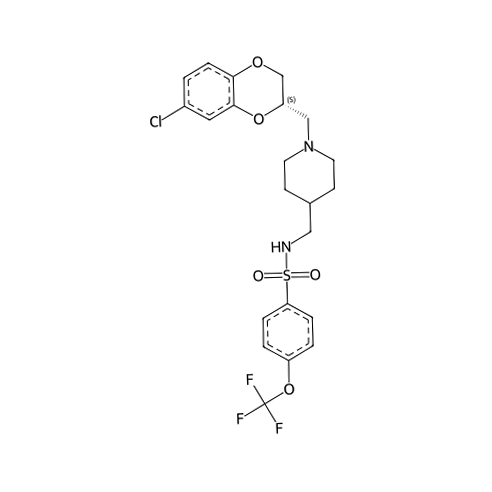 O=S(=O)(NCC1CCN(C[C@H]2COc3ccc(Cl)cc3O2)CC1)c1ccc(OC(F)(F)F)cc1